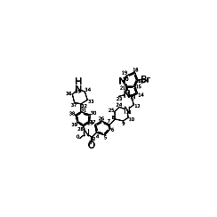 CN(C(=O)c1ccc(C2CCN(Cc3cc4c(Br)ccnc4n3C)CC2)cc1)c1ccc(C2CCNCC2)cc1